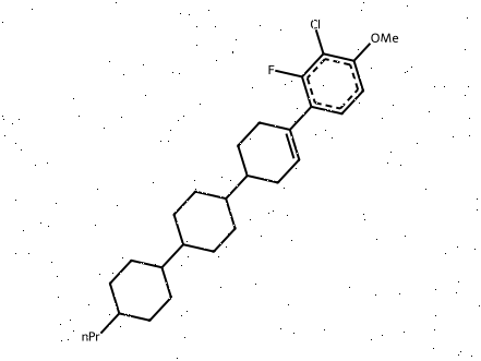 CCCC1CCC(C2CCC(C3CC=C(c4ccc(OC)c(Cl)c4F)CC3)CC2)CC1